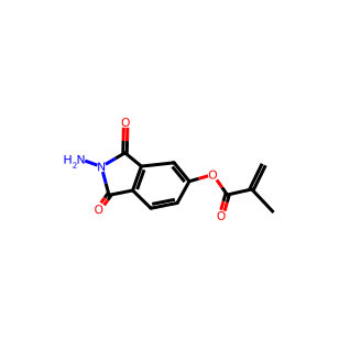 C=C(C)C(=O)Oc1ccc2c(c1)C(=O)N(N)C2=O